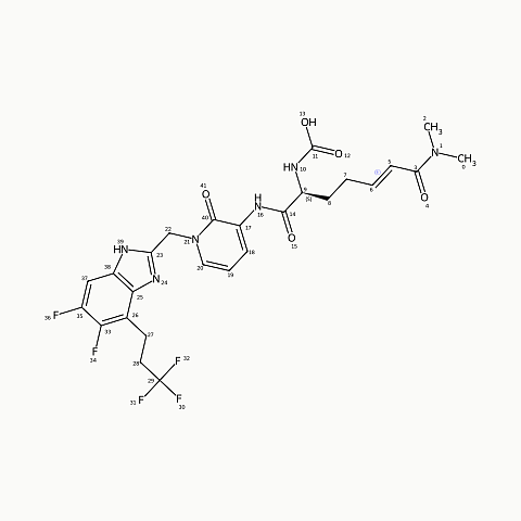 CN(C)C(=O)/C=C/CC[C@H](NC(=O)O)C(=O)Nc1cccn(Cc2nc3c(CCC(F)(F)F)c(F)c(F)cc3[nH]2)c1=O